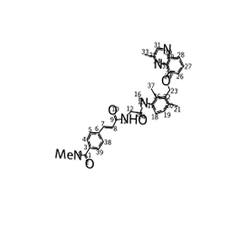 CNC(=O)c1ccc(/C=C/C(=O)NCC(=O)N(C)c2ccc(C)c(COc3cccc4ncc(C)nc34)c2C)cc1